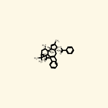 CC1=C[C@@H]2[C@](O)(CC(CO)=C[C@H]3[C@H]4C(C)(C)[C@]4(OC(=O)Cc4ccccc4)C[C@@H](C)[C@]23O)[C@H]1OC(=O)c1ccccc1